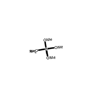 CO[B-](OC)(OC)OC.[NH4+]